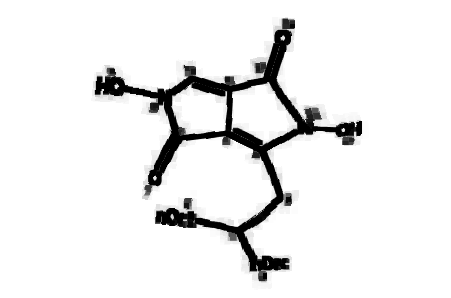 CCCCCCCCCCC(CCCCCCCC)CC1=C2C(=O)N(O)C=C2C(=O)N1O